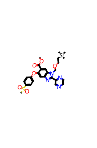 COC(=O)c1cc2c(cc1Oc1ccc(S(C)(=O)=O)cc1)nc(-c1cnccn1)n2COCC[Si](C)(C)C